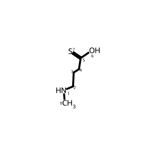 CNCCCC(O)=S